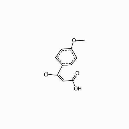 COc1ccc(/C(Cl)=C\C(=O)O)cc1